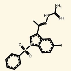 CC(=NNC(=N)N)c1cn(S(=O)(=O)c2ccccc2)c2ccc(I)cc12